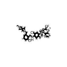 CN1CC2(C1)CN(Cc1cccc(Cl)c1CNc1cc(F)c(S(=O)(=O)N(OC(=O)C(F)(F)F)c3cscn3)cc1Cl)C2